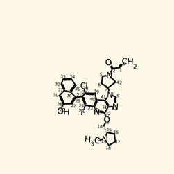 C=CC(=O)N1CCC(n2cnc3c(OC[C@@H]4CCCN4C)nc4c(F)c(-c5cc(O)cc6ccccc56)c(Cl)cc4c32)C1